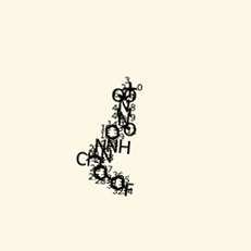 CC(C)(C)OC(=O)N1CCN(C(=O)[C@H]2CCC[C@@H](Nc3ncc(Cl)c(-c4cccc(-c5ccc(F)cc5)c4)n3)C2)CC1